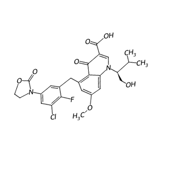 COc1cc(Cc2cc(N3CCOC3=O)cc(Cl)c2F)c2c(=O)c(C(=O)O)cn([C@H](CO)C(C)C)c2c1